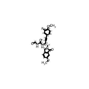 COc1ccc2c(c1)C(=O)N(C[C@@H](C#Cc1ccc(OC)c(F)c1)NC(=O)NC=O)C2